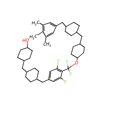 Cc1cc(CC2CCC(CC3CCC(OC(F)(F)c4c(F)cc(CC5CCC(CC6CCC(O)CC6)CC5)cc4F)CC3)CC2)cc(C)c1C